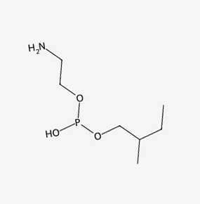 CCC(C)COP(O)OCCN